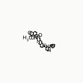 C[C@@]1(C#N)COCc2ccc(C(=O)NCc3cc4nc(-c5ccnc(N6CC7CC(C6)O7)n5)ccc4cn3)cc21